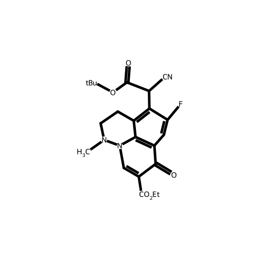 CCOC(=O)c1cn2c3c(c(C(C#N)C(=O)OC(C)(C)C)c(F)cc3c1=O)CCN2C